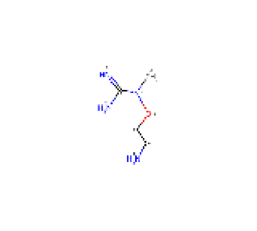 CN(OCCN)C(=N)N